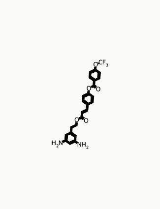 Nc1cc(N)cc(CCOC(=O)/C=C/c2ccc(OC(=O)c3ccc(OC(F)(F)F)cc3)cc2)c1